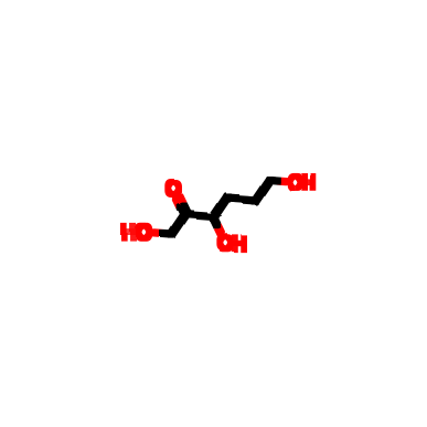 O=C(CO)C(O)CCCO